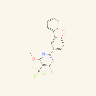 COc1nc(-c2ccc3oc4ccccc4c3c2)nc(F)c1C(F)(F)F